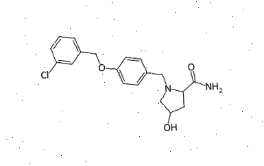 NC(=O)C1CC(O)CN1Cc1ccc(OCc2cccc(Cl)c2)cc1